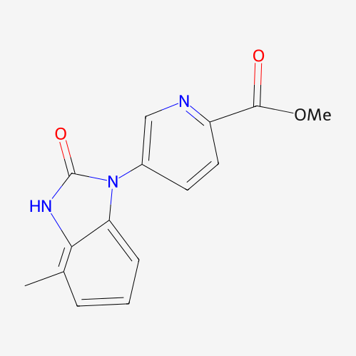 COC(=O)c1ccc(-n2c(=O)[nH]c3c(C)cccc32)cn1